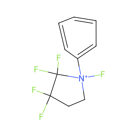 FC1(F)CC[N+](F)(c2ccccc2)C1(F)F